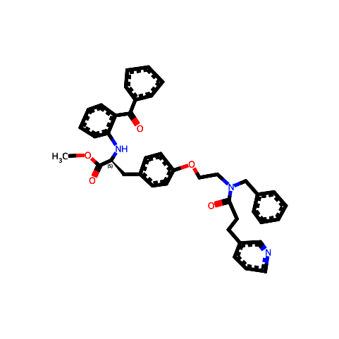 COC(=O)[C@H](Cc1ccc(OCCN(Cc2ccccc2)C(=O)CCc2cccnc2)cc1)Nc1ccccc1C(=O)c1ccccc1